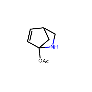 CC(=O)OC12C=CC(CN1)C2